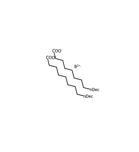 CCCCCCCCCCCCCCCCCC(=O)[O-].CCCCCCCCCCCCCCCCCC(=O)[O-].[B+2]